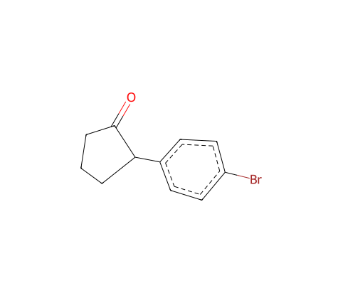 O=C1CCCC1c1ccc(Br)cc1